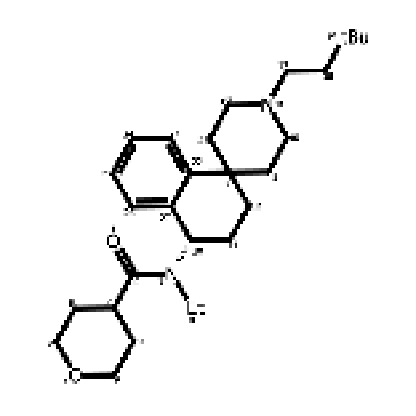 CCN(C(=O)C1CCOCC1)[C@H]1CCC2(CCN(CCC(C)(C)C)CC2)c2ccccc21